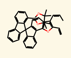 C=Cc1oc2c3c(ccc2c1/C=C\C)C1(c2ccccc2-c2cccc(B4OC(C)(C)C(C)(C)O4)c21)c1ccccc1-3